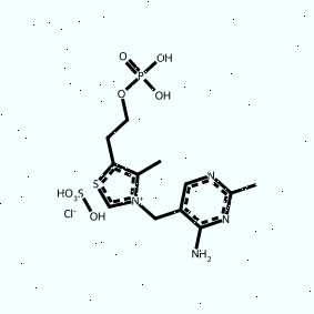 Cc1ncc(C[n+]2csc(CCOP(=O)(O)O)c2C)c(N)n1.O=S(=O)(O)O.[Cl-]